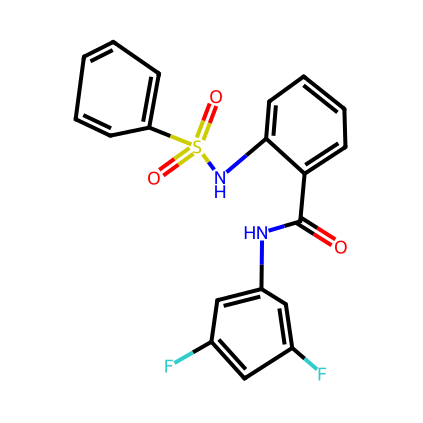 O=C(Nc1cc(F)cc(F)c1)c1ccccc1NS(=O)(=O)c1ccccc1